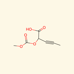 CC#CC(OC(=O)OC)C(=O)O